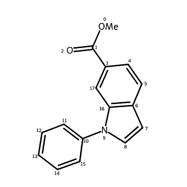 COC(=O)c1ccc2ccn(-c3ccccc3)c2c1